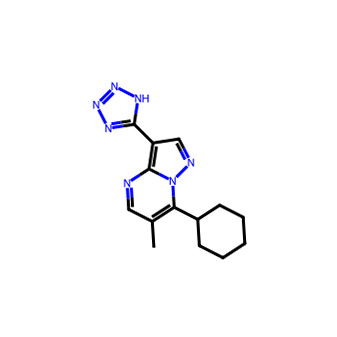 Cc1cnc2c(-c3nnn[nH]3)cnn2c1C1CCCCC1